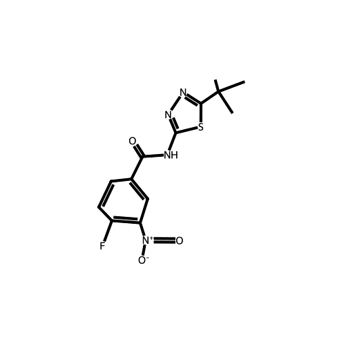 CC(C)(C)c1nnc(NC(=O)c2ccc(F)c([N+](=O)[O-])c2)s1